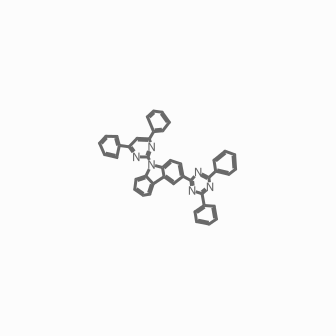 c1ccc(-c2cc(-c3ccccc3)nc(-n3c4ccccc4c4cc(-c5nc(-c6ccccc6)nc(-c6ccccc6)n5)ccc43)n2)cc1